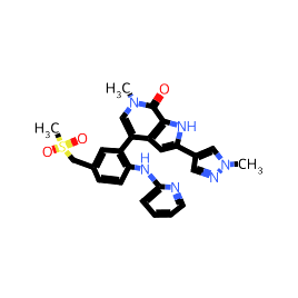 Cn1cc(-c2cc3c(-c4cc(CS(C)(=O)=O)ccc4Nc4ccccn4)cn(C)c(=O)c3[nH]2)cn1